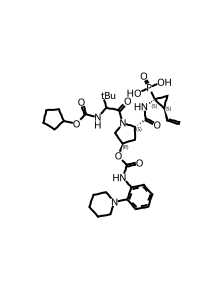 C=C[C@@H]1C[C@]1(NC(=O)[C@@H]1C[C@@H](OC(=O)Nc2ccccc2N2CCCCC2)CN1C(=O)C(NC(=O)OC1CCCC1)C(C)(C)C)P(=O)(O)O